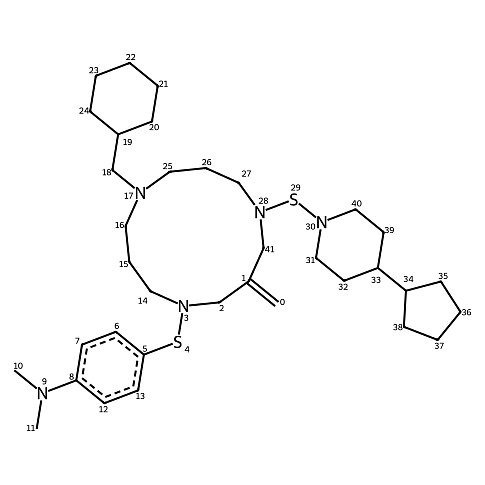 C=C1CN(Sc2ccc(N(C)C)cc2)CCCN(CC2CCCCC2)CCCN(SN2CCC(C3CCCC3)CC2)C1